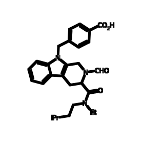 CCN(CCC(C)C)C(=O)C1Cc2c(n(Cc3ccc(C(=O)O)cc3)c3ccccc23)CN1C=O